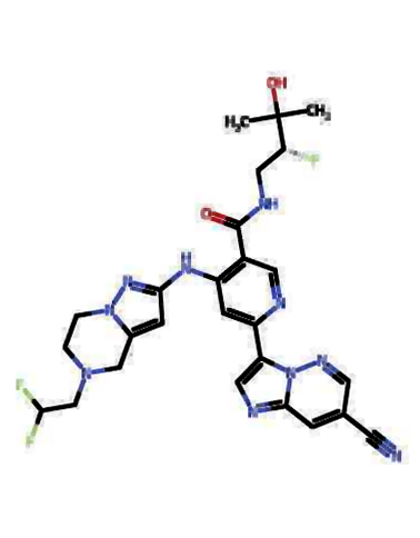 CC(C)(O)[C@H](F)CNC(=O)c1cnc(-c2cnc3cc(C#N)cnn23)cc1Nc1cc2n(n1)CCN(CC(F)F)C2